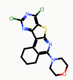 Clc1nc(Cl)c2sc3nc(N4CCOCC4)c4c(c3c2n1)CCCC4